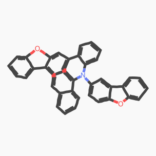 c1ccc(N(c2ccc3oc4ccccc4c3c2)c2cccc3ccccc23)c(-c2ccc3c(c2)oc2ccccc23)c1